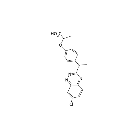 CC(Oc1ccc(N(C)c2nnc3cc(Cl)ccc3n2)cc1)C(=O)O